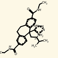 CCNC(=O)c1ccc2c(c1)CCc1cc(C(=O)NCC)ccc1C2(C[C@@H](N)C(C)C)c1nnn[nH]1